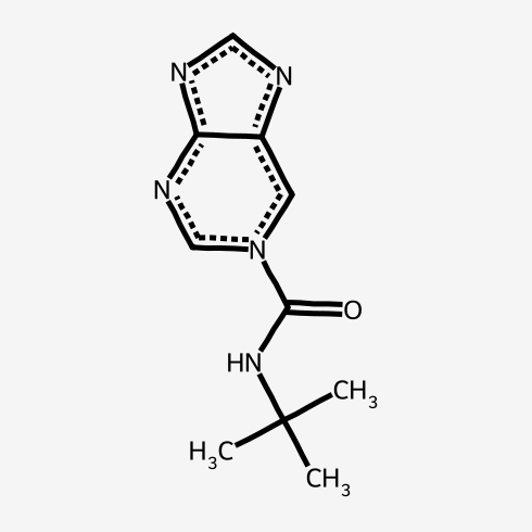 CC(C)(C)NC(=O)n1cnc2ncnc-2c1